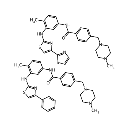 Cc1ccc(NC(=O)c2ccc(CN3CCN(C)CC3)cc2)cc1Nc1nc(-c2ccccc2)cs1.Cc1ccc(NC(=O)c2ccc(CN3CCN(C)CC3)cc2)cc1Nc1nc(-c2nccs2)cs1